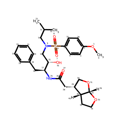 COc1ccc(S(=O)(=O)N(CC(C)C)C[C@H](O)[C@H](Cc2ccccc2)NC(=O)C[C@@H]2CO[C@@H]3OCC[C@H]23)cc1